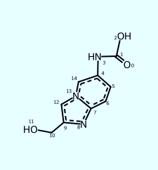 O=C(O)Nc1ccc2nc(CO)cn2c1